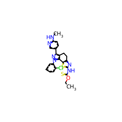 CCOC(=S)Nc1nc2c(s1)-c1c(c(-c3ccc(NC)nc3)nn1-c1ccccc1Cl)CC2